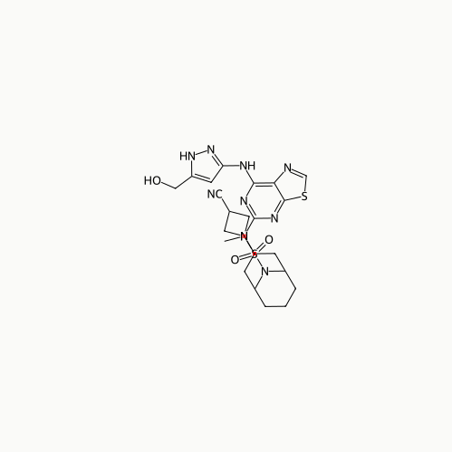 CN(c1nc(Nc2cc(CO)[nH]n2)c2ncsc2n1)C1CC2CCCC(C1)N2S(=O)(=O)N1CC(C#N)C1